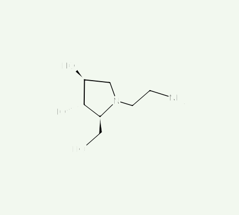 NCCN1C[C@H](O)[C@@H](O)[C@@H]1CO